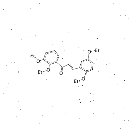 CCOc1ccc(OCC)c(C=CC(=O)c2cccc(OCC)c2OCC)c1